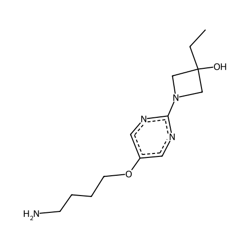 CCC1(O)CN(c2ncc(OCCCCN)cn2)C1